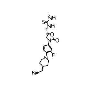 CNC(=S)NC[C@H]1CN(c2ccc(N3CCC(=CC#N)CC3)c(F)c2)C(=O)O1